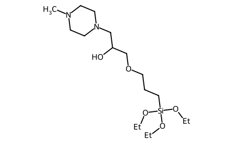 CCO[Si](CCCOCC(O)CN1CCN(C)CC1)(OCC)OCC